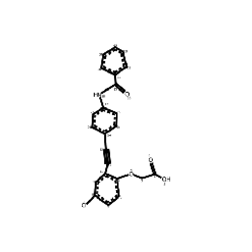 O=C(O)COc1ccc(Cl)cc1C#Cc1ccc(NC(=O)c2ccccc2)cc1